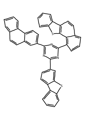 c1ccc2c(c1)ccc1cc(-c3nc(-c4ccc5c(c4)sc4ccccc45)nc(-c4cccc5ccc6c7ccccc7sc6c45)n3)ccc12